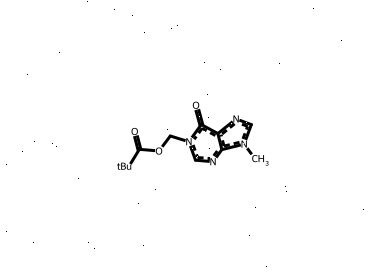 Cn1cnc2c(=O)n(COC(=O)C(C)(C)C)cnc21